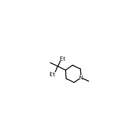 CCC(C)(CC)C1CCN(C)CC1